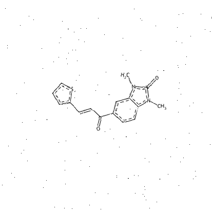 Cn1c(=O)n(C)c2cc(C(=O)/C=C/c3cccs3)ccc21